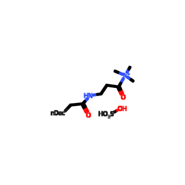 CCCCCCCCCCCC(=O)NCCC(=O)[N+](C)(C)C.O=S(=O)(O)O